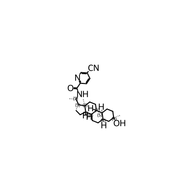 C[C@H](NC(=O)c1ccc(C#N)cn1)[C@H]1CC[C@H]2[C@@H]3CC[C@@H]4C[C@](C)(O)CC[C@@H]4[C@H]3CC[C@]12C